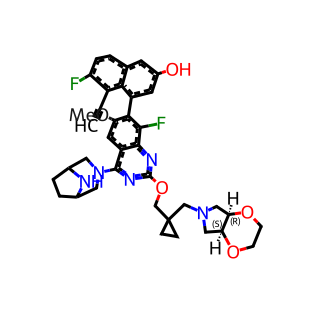 C#Cc1c(F)ccc2cc(O)cc(-c3c(OC)cc4c(N5CC6CCC(C5)N6)nc(OCC5(CN6C[C@@H]7OCCO[C@@H]7C6)CC5)nc4c3F)c12